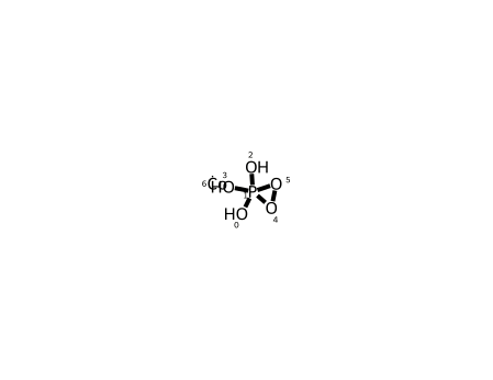 OP1(O)(O)OO1.[Co]